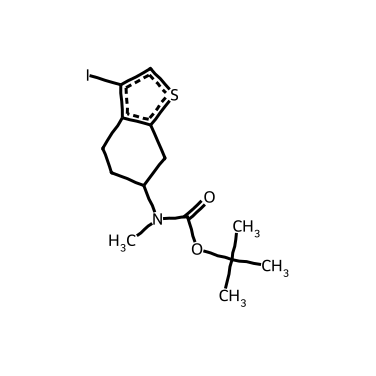 CN(C(=O)OC(C)(C)C)C1CCc2c(I)csc2C1